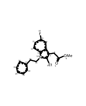 CCc1c(CC(=O)OC)c2cc(F)ccc2n1CCc1ccccc1